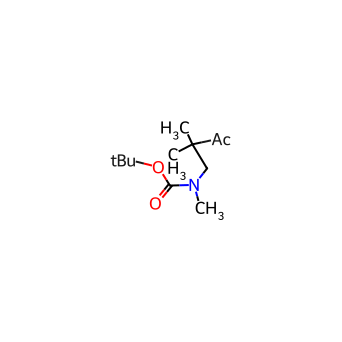 CC(=O)C(C)(C)CN(C)C(=O)OC(C)(C)C